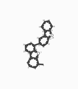 Cc1cccc2c1oc1c(-c3ccc4oc5ccccc5c4c3)cccc12